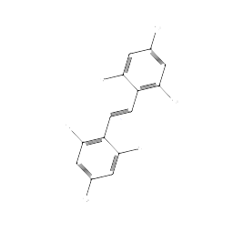 O=[N+]([O-])c1cc([N+](=O)[O-])c(/C=C/c2c([N+](=O)[O-])cc([N+](=O)[O-])cc2[N+](=O)[O-])c([N+](=O)[O-])c1